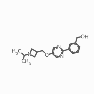 CC(C)N1CC(COc2cnc(-c3cccc(CO)c3)nc2)C1